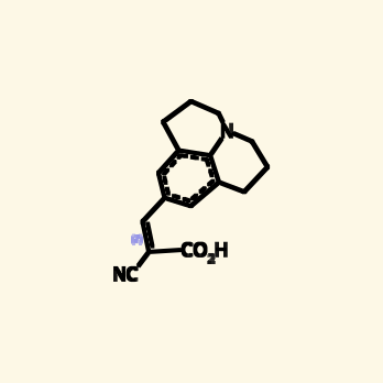 N#C/C(=C/c1cc2c3c(c1)CCCN3CCC2)C(=O)O